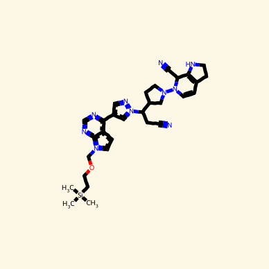 C[Si](C)(C)CCOCn1ccc2c(-c3cnn(C(CC#N)C4CCN(N5C=CC6=C(NCC6)C5C#N)C4)c3)ncnc21